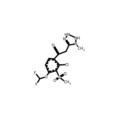 CN1NNN=C1CC(=O)c1ccc(OC(F)F)c(S(C)(=O)=O)c1Cl